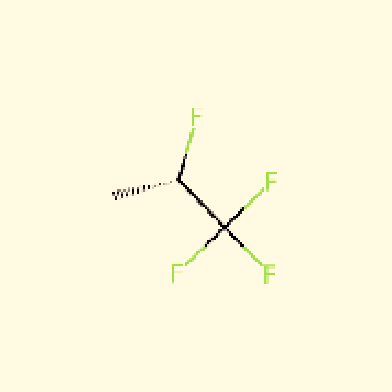 C[C@H](F)C(F)(F)F